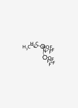 C=C(/C=C\C=C/C)c1cccc(N(Cc2cccc(OC(F)(F)C(F)F)c2)CC(O)C(F)(F)F)c1